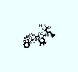 CC1CN(C(=O)[C@@H](NC(=O)NC2(CS(C)(=O)=O)CCCCC2)C(C)(C)C)[C@H](C(=O)NC(CC2CC2)C(=O)C(N)=O)CC1(C)C